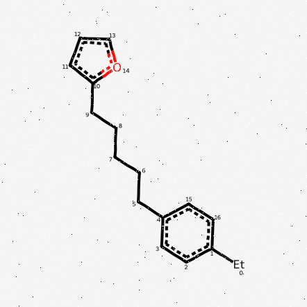 CCc1ccc(CCCCCc2ccco2)cc1